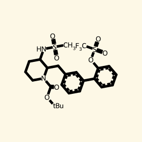 CC(C)(C)OC(=O)N1CCCC(NS(C)(=O)=O)C1Cc1cccc(-c2ccccc2OS(=O)(=O)C(F)(F)F)c1